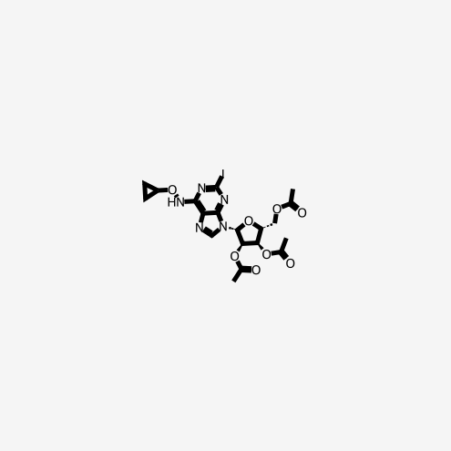 CC(=O)OC[C@H]1O[C@@H](n2cnc3c(NOC4CC4)nc(I)nc32)[C@H](OC(C)=O)[C@@H]1OC(C)=O